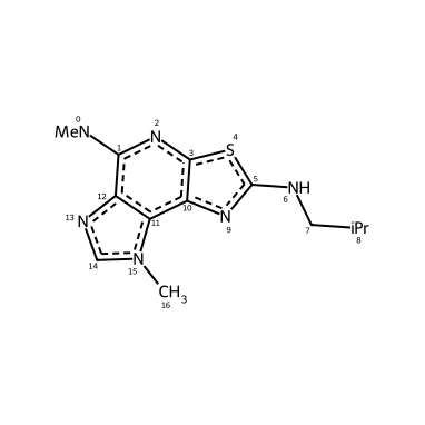 CNc1nc2sc(NCC(C)C)nc2c2c1ncn2C